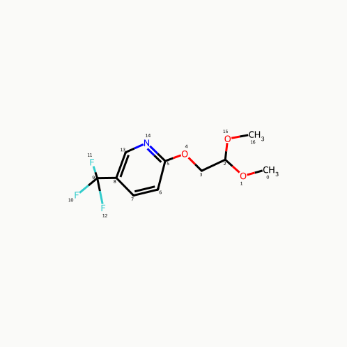 COC(COc1ccc(C(F)(F)F)cn1)OC